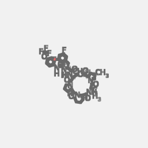 C[C@H]1C[C@H]2C(=O)O[C@@H](C)[C@H](NC(=O)[C@H](Cc3cc(F)cc(F)c3)NC(O)Nc3ccc(OC(F)(F)F)cc3)C(=O)N3CCC[C@H]3C(=O)N3CCCC[C@H]3C(=O)N[C@@H](C)C(=O)N2C1